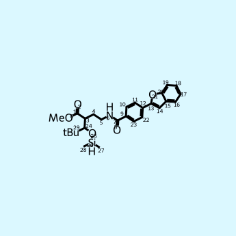 COC(=O)C(CCNC(=O)c1ccc(-c2cc3ccccc3o2)cc1)C(O[SiH](C)C)C(C)(C)C